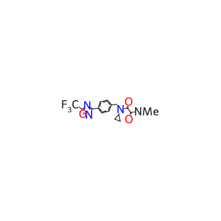 CNC(=O)C(=O)N(Cc1ccc(-c2noc(C(F)(F)F)n2)cc1)C1CC1